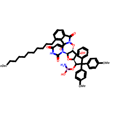 CCCCCCCCCCCCCCCCCCCCc1cccc2c1C(=O)N(O[C@@H]1[C@H](O)[C@@H](C(OP(N)O)C(c3ccccc3)(c3ccc(OC)cc3)c3ccc(OC)cc3)O[C@H]1n1ccc(=O)[nH]c1=O)C2=O